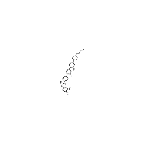 CCCCCC1CCC(c2ccc(-c3ccc(-c4ccc(C(F)(F)Oc5ccc(Cl)c(F)c5)cc4)c(F)c3)c(F)c2)CC1